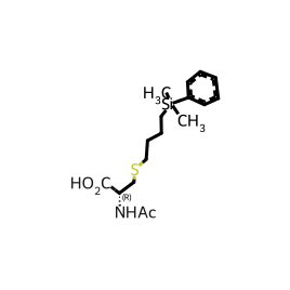 CC(=O)N[C@@H](CSCCCC[Si](C)(C)c1ccccc1)C(=O)O